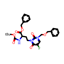 CC(C)(C)OC(=O)NC(CCn1c(=O)c(F)cn(COCc2ccccc2)c1=O)C(=O)OCc1ccccc1